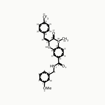 COc1cccc(CNC(=O)c2ccc3c(c2)OC(=Cc2ccc(C(F)(F)F)cc2)C(=O)N3C)c1